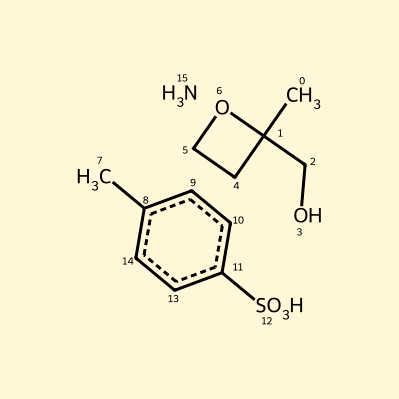 CC1(CO)CCO1.Cc1ccc(S(=O)(=O)O)cc1.N